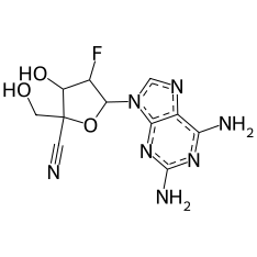 N#CC1(CO)OC(n2cnc3c(N)nc(N)nc32)C(F)C1O